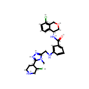 Cn1c(CNc2cccc(C(=O)N[C@H]3COCc4c(Cl)cccc43)c2)nnc1C1CCNCC1F